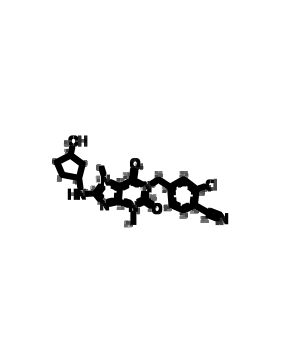 Cn1c(NC2CCC(O)C2)nc2c1c(=O)n(Cc1ccc(C#N)c(Cl)c1)c(=O)n2C